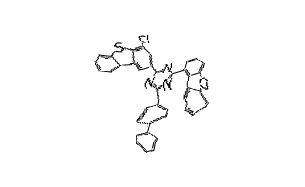 Clc1cc(-c2nc(-c3ccc(-c4ccccc4)cc3)nc(-c3cccc4oc5ccccc5c34)n2)cc2c1sc1ccccc12